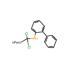 CCCCCC(Cl)(Cl)Pc1ccccc1-c1ccccc1